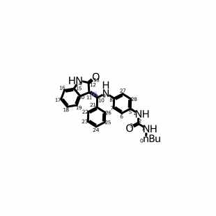 CCCCNC(=O)Nc1ccc(N/C(=C2\C(=O)Nc3ccccc32)c2ccccc2)cc1